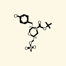 CC(C)(C)OC(=O)N1C[C@H](COS(C)(=O)=O)OC[C@@H]1Cc1ccc(Cl)cc1